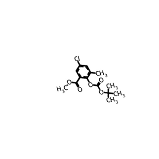 COC(=O)c1cc(Cl)cc(C)c1OC(=O)OC(C)(C)C